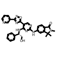 CN1C(=O)c2ccc(Nc3ncc(-c4nc(-c5cccnc5)no4)c(N[C@H](CO)c4ccccc4)n3)cc2C1(C)C